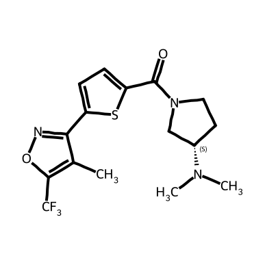 Cc1c(-c2ccc(C(=O)N3CC[C@H](N(C)C)C3)s2)noc1C(F)(F)F